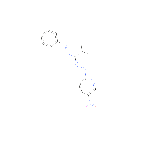 CC(C)C(/N=N/c1ccccc1)=N\Nc1ccc([N+](=O)[O-])cn1